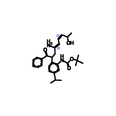 CC(O)/C=C\C=C(/N)CC(C(=O)c1ccccc1)c1ccc(C(C)C)cc1NC(=O)OC(C)(C)C